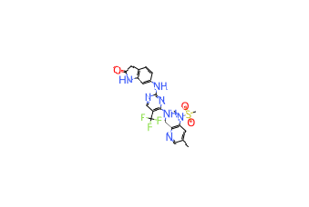 Cc1cnc(CNc2nc(Nc3ccc4c(c3)NC(=O)C4)ncc2C(F)(F)F)c(N(C)S(C)(=O)=O)c1